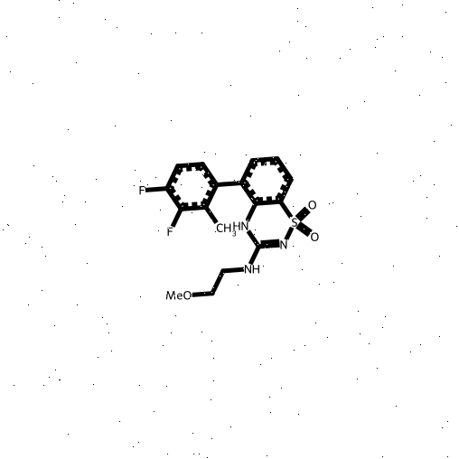 COCCNC1=NS(=O)(=O)c2cccc(-c3ccc(F)c(F)c3C)c2N1